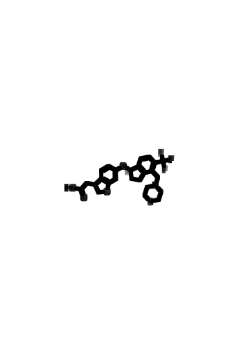 O=C(O)CC1COc2cc(O[C@@H]3CCc4c3ccc(C(F)(F)F)c4CN3CCSCC3)ccc21